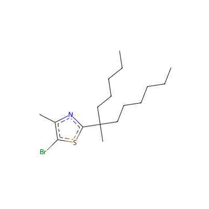 CCCCCCC(C)(CCCCC)c1nc(C)c(Br)s1